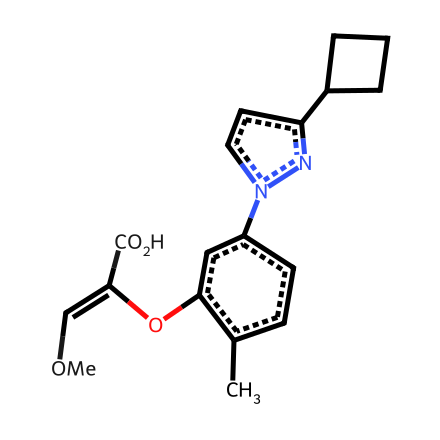 CO/C=C(\Oc1cc(-n2ccc(C3CCC3)n2)ccc1C)C(=O)O